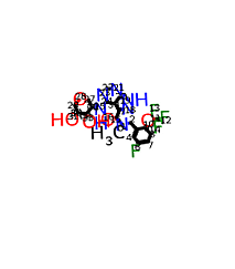 CN(CC1=CC(F)=CCC1OC(F)(F)F)C(=O)C1=NNC2=NC=NC(N[C@@H]3COC[C@@H](O)[C@H]3O)C21